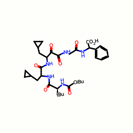 CC(C)COC(=O)N[C@H](C(=O)NC(CC1CC1)C(=O)NC(CC1CC1)C(=O)C(=O)NCC(=O)NC(C(=O)O)c1ccccc1)C(C)(C)C